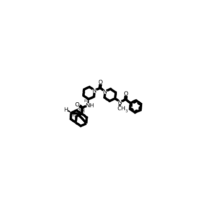 CN(C(=O)c1ccccc1)C1CCN(C(=O)N2CCC[C@H](NC(=O)C34CC5CC(C3)C(O)[C@H](C5)C4)C2)CC1